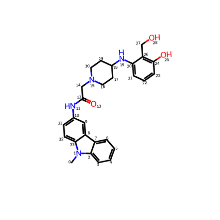 Cn1c2ccccc2c2cc(NC(=O)CN3CCC(Nc4cccc(O)c4CO)CC3)ccc21